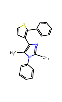 Cc1nc(-c2ccsc2-c2ccccc2)c(C)n1-c1ccccc1